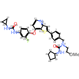 COCCN(Cc1ccc(-c2cc3nccc(Oc4ccc(NC(=O)NC5CC5)cc4F)c3s2)cc1)C(=O)NC1CCCC1